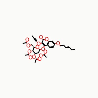 CC#COc1c(O[C@@H]2O[C@H](COC(C)=O)[C@H](OC(C)=O)[C@H](OC(C)=O)[C@H]2OC(C)=O)c2ccc(OCC/C=C/CC)cc2oc1=O